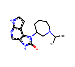 N#CC(C=O)N1CCCCC(n2c(=O)[nH]c3cnc4[nH]ccc4c32)C1